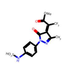 COC(=O)C(=C1C(=O)N(c2ccc(NS(=O)(=O)O)cc2)N=C1C)C(F)(F)F